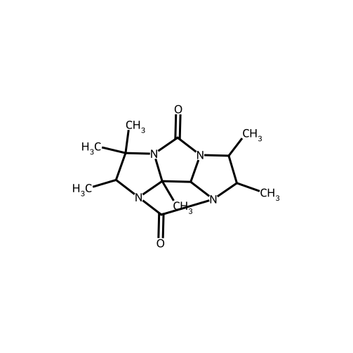 CC1C(C)N2C(=O)N3C(C)(C)C(C)N4C(=O)N1C2C43C